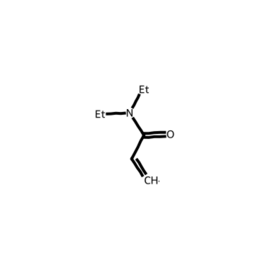 [CH]=CC(=O)N(CC)CC